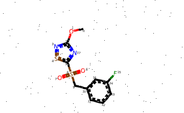 COc1nsc(S(=O)(=O)Cc2cccc(F)c2)n1